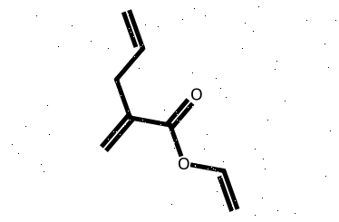 C=CCC(=C)C(=O)OC=C